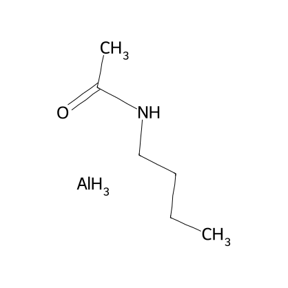 CCCCNC(C)=O.[AlH3]